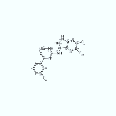 CC(C)(C)N/C(=N\C(=O)c1cccc(Cl)c1)NC1NNc2cc(Cl)c(F)cc21